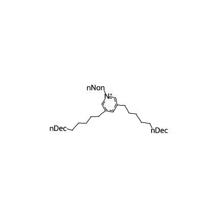 CCCCCCCCCCCCCCCc1cc(CCCCCCCCCCCCCCC)c[n+](CCCCCCCCC)c1